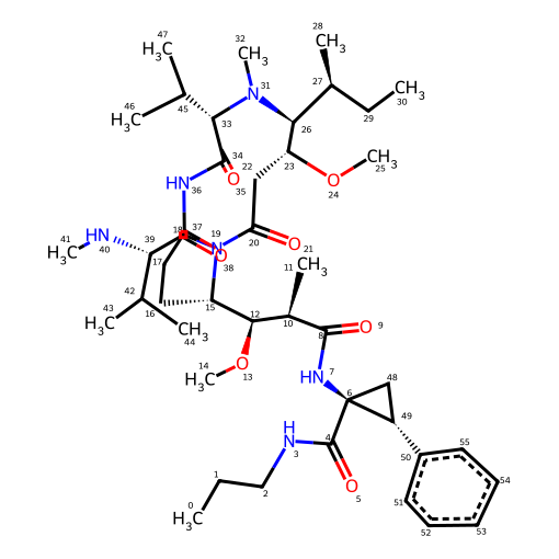 CCCNC(=O)[C@]1(NC(=O)[C@H](C)[C@@H](OC)[C@@H]2CCCN2C(=O)C[C@@H](OC)[C@H]([C@@H](C)CC)N(C)[C@H](C(=O)NC(=O)[C@@H](NC)C(C)C)C(C)C)C[C@@H]1c1ccccc1